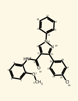 COc1ccccc1NC(=O)c1cn(-c2ccccc2)nc1-c1ccc(Cl)cc1